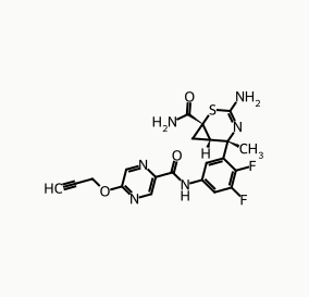 C#CCOc1cnc(C(=O)Nc2cc(F)c(F)c([C@@]3(C)N=C(N)S[C@@]4(C(N)=O)C[C@H]43)c2)cn1